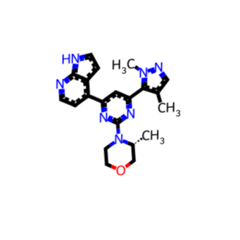 Cc1cnn(C)c1-c1cc(-c2ccnc3[nH]ccc23)nc(N2CCOC[C@H]2C)n1